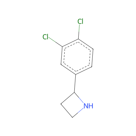 Clc1ccc(C2CCN2)cc1Cl